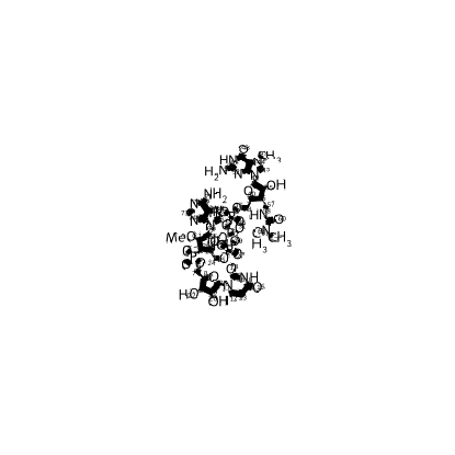 CO[C@@H]1[C@H](P(=O)([O-])OC[C@H]2O[C@@H](n3ccc(=O)[nH]c3=O)[C@H](O)[C@@H]2O)[C@@H](COP(=O)(O)OP(=O)(O)OP(=O)(O)OC[C@H]2O[C@@H](n3c[n+](C)c4c(=O)[nH]c(N)nc43)[C@H](O)[C@@H]2CNC(=O)N(C)C)O[C@H]1n1cnc2c(N)ncnc21